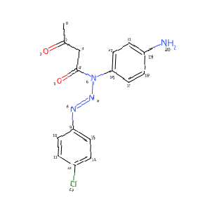 CC(=O)CC(=O)N(N=Nc1ccc(Cl)cc1)c1ccc(N)cc1